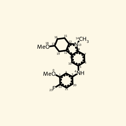 COc1cc(Nc2ccc3c(c2)c2c(n3C)CCC(OC)C2)ccc1F